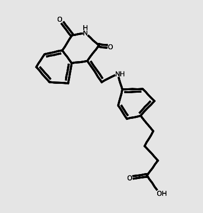 O=C(O)CCCc1ccc(NC=C2C(=O)NC(=O)c3ccccc32)cc1